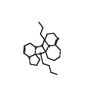 CCCCN1N2CC=CN3CCCC32N(CCCC)C12CCCCC1=NCCCN12